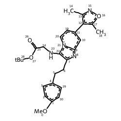 COc1ccc(CCc2nc3cc(-c4c(C)noc4C)ccn3c2NCC(=O)OC(C)(C)C)cc1